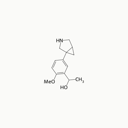 COc1ccc(C23CNCC2C3)cc1C(C)O